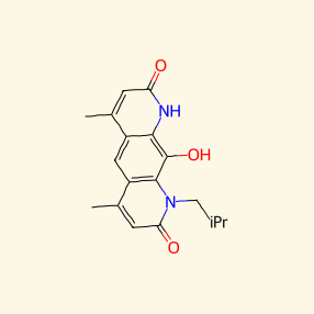 Cc1cc(=O)[nH]c2c(O)c3c(cc12)c(C)cc(=O)n3CC(C)C